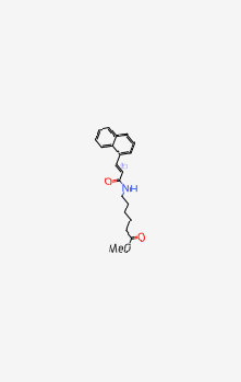 COC(=O)CCCCCNC(=O)/C=C/c1cccc2ccccc12